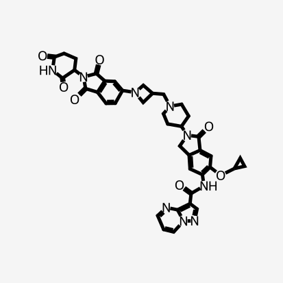 O=C1CCC(N2C(=O)c3ccc(N4CC(CN5CCC(N6Cc7cc(NC(=O)c8cnn9cccnc89)c(OC8CC8)cc7C6=O)CC5)C4)cc3C2=O)C(=O)N1